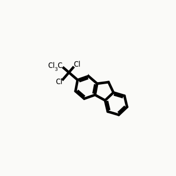 ClC(Cl)(Cl)C(Cl)(Cl)c1[c]c2c(cc1)-c1ccccc1C2